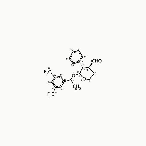 CC(O[C@H]1OCC[C@H](C=O)[C@H]1c1ccccc1)c1cc(C(F)(F)F)cc(C(F)(F)F)c1